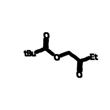 CCC(=O)COC(=O)C(C)(C)C